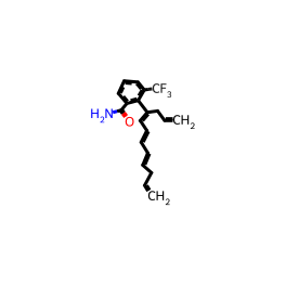 C=CCC=CC=CC=C(CC=C)c1c(C(N)=O)cccc1C(F)(F)F